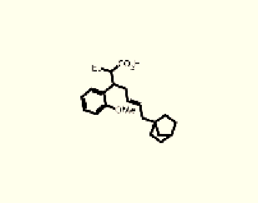 CCC(C(=O)O)C(CC=CCC12CCC(CC1)C2)c1ccccc1OC